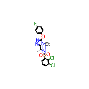 CCn1c(Oc2ccc(F)cc2)nnc1[C@@H](C)NS(=O)(=O)c1cccc(Cl)c1Cl